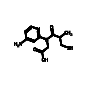 CC(CS)C(=O)N(CC(=O)O)c1cc(N)ccn1